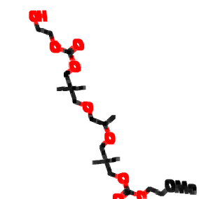 COCCOC(=O)OCC(C)(C)COC(C)COCC(C)(C)COC(=O)OCCO